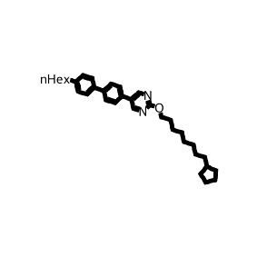 CCCCCCc1ccc(-c2ccc(-c3cnc(OCCCCCCCCC4CCCC4)nc3)cc2)cc1